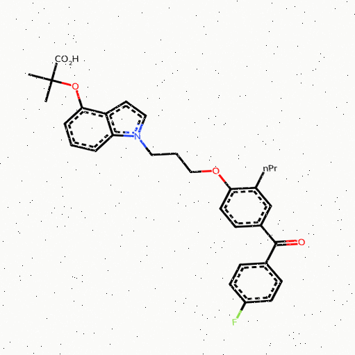 CCCc1cc(C(=O)c2ccc(F)cc2)ccc1OCCCn1ccc2c(OC(C)(C)C(=O)O)cccc21